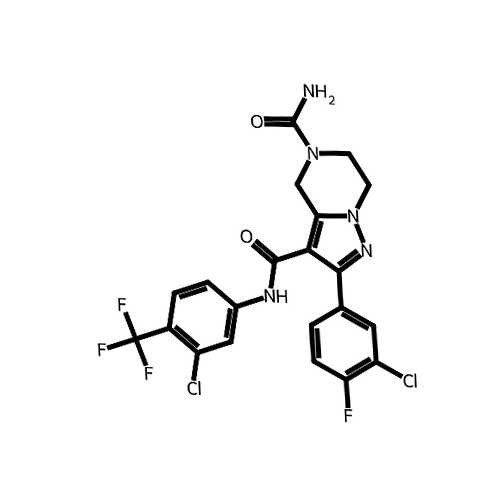 NC(=O)N1CCn2nc(-c3ccc(F)c(Cl)c3)c(C(=O)Nc3ccc(C(F)(F)F)c(Cl)c3)c2C1